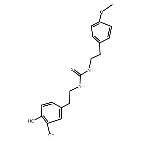 COc1ccc(CCNC(=S)NCCc2ccc(O)c(O)c2)cc1